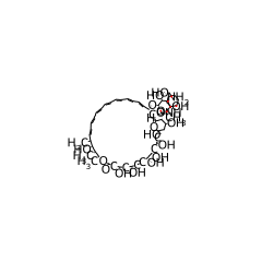 C[C@@H]1[C@H](O)[C@@H](C)/C=C/C=C/C=C/C=C/C=C/C=C/C=C/[C@H](O[C@@H]2O[C@H](C)[C@@H](O)[C@H](N)[C@@H]2O)C[C@@H]2O[C@](O)(C[C@@H](O)C[C@@H](O)[C@H](O)CC[C@@H](O)C[C@@H](O)CC(=O)O[C@H]1C)C[C@H](O)[C@H]2C(=O)N[C@H]1CCC[C@@H](O)C1